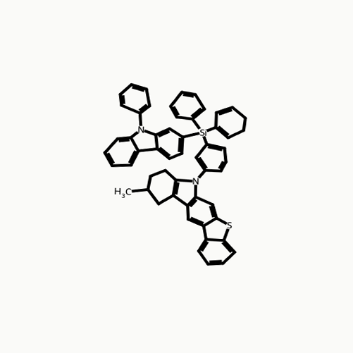 CC1CCc2c(c3cc4c(cc3n2-c2cccc([Si](C3=CCCC=C3)(c3ccccc3)c3ccc5c6ccccc6n(-c6ccccc6)c5c3)c2)sc2ccccc24)C1